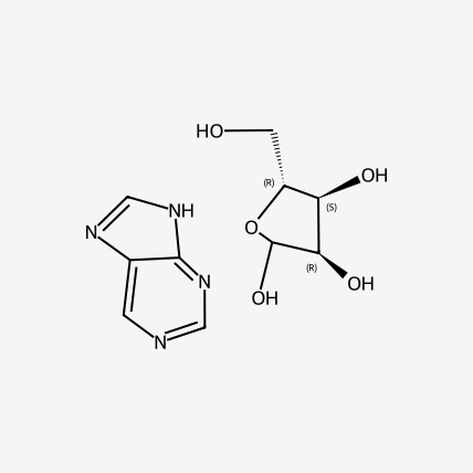 OC[C@H]1OC(O)[C@H](O)[C@@H]1O.c1ncc2nc[nH]c2n1